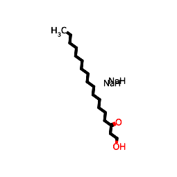 CCCCCCCCCCCCCCCC(=O)CCO.[NaH].[NaH]